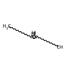 CCCCCCCCCCCCCCCCN1CCN(CCCCCCCCCCCCCCCC)CC1.I.I